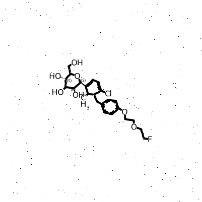 CC1C([C@@H]2OC(CO)[C@@H](O)C(O)[C@H]2O)=CC=C(Cl)C1Cc1ccc(OCCOCCF)cc1